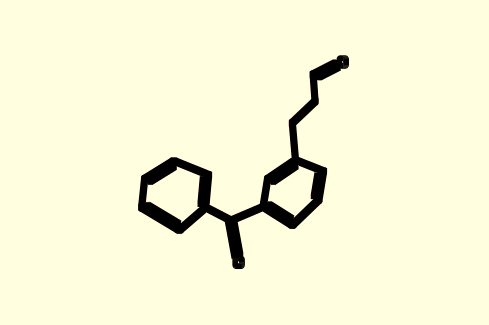 O=CCCc1cccc(C(=O)c2ccccc2)c1